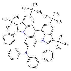 CC(C)(C)c1cc2c3c(c1)c(C(C)(C)C)c(-c1ccccc1)n3-c1cc(N(c3ccccc3)c3ccccc3)cc3c1B2c1cc(C(C)(C)C)cc2c(C(C)(C)C)c(-c4ccccc4)n-3c12